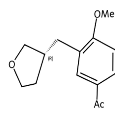 COc1ccc(C(C)=O)cc1C[C@@H]1CCOC1